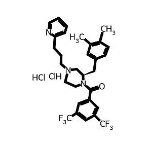 Cc1ccc(C[C@@H]2CN(CCCc3ccccn3)CCN2C(=O)c2cc(C(F)(F)F)cc(C(F)(F)F)c2)cc1C.Cl.Cl